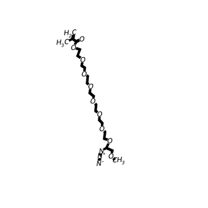 C=C(C)C(=O)OCCOCCOCCOCCOCCOCCOCCOC(COC)N=[N+]=[N-]